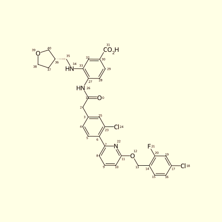 O=C(Cc1ccc(-c2cccc(OCc3ccc(Cl)cc3F)n2)c(Cl)c1)Nc1ccc(C(=O)O)cc1NC[C@@H]1CCOC1